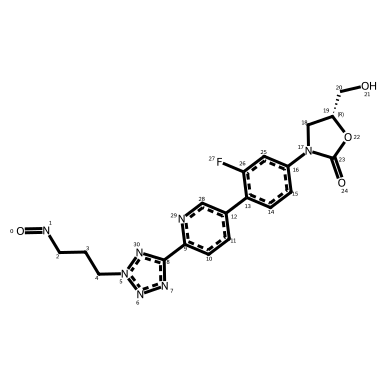 O=NCCCn1nnc(-c2ccc(-c3ccc(N4C[C@H](CO)OC4=O)cc3F)cn2)n1